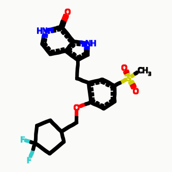 CS(=O)(=O)c1ccc(OCC2CCC(F)(F)CC2)c(Cc2c[nH]c3c(=O)[nH]ccc23)c1